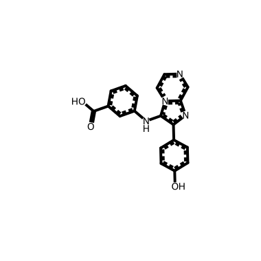 O=C(O)c1cccc(Nc2c(-c3ccc(O)cc3)nc3cnccn23)c1